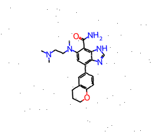 CN(C)CCN(C)c1cc(-c2ccc3c(c2)CCCO3)c2nc[nH]c2c1C(N)=O